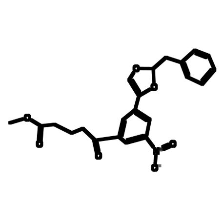 COC(=O)CCCC(=O)c1cc(C2=COC(Cc3ccccc3)O2)cc([N+](=O)[O-])c1